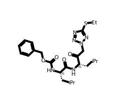 CCSc1nnn(CC(=O)[C@H](CC(C)C)NC(=O)[C@H](CC(C)C)NC(=O)OCc2ccccc2)n1